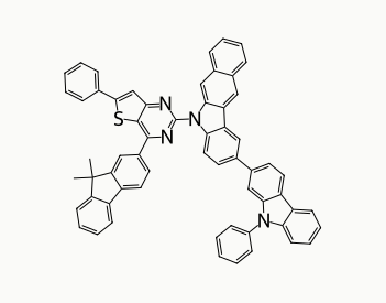 CC1(C)c2ccccc2-c2ccc(-c3nc(-n4c5ccc(-c6ccc7c8ccccc8n(-c8ccccc8)c7c6)cc5c5cc6ccccc6cc54)nc4cc(-c5ccccc5)sc34)cc21